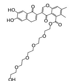 Cc1cc2occ(C3=CCc4cc(O)c(O)cc4C3=O)c(=O)c2c(C(=O)OCCOCCOCCOCCOCCO)c1C